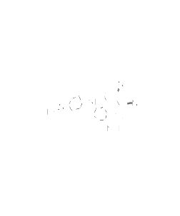 CN(C)c1ccc(Nc2ccc(N)c3c2C(=O)C(C#N)=C(C#N)C3=O)cc1